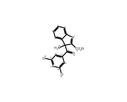 CCOC(=O)C1=Nc2ccccc2C1(N)C(=O)c1cc(Cl)nc(Cl)c1